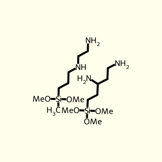 CO[Si](C)(CCCNCCN)OC.CO[Si](CCC(N)CCN)(OC)OC